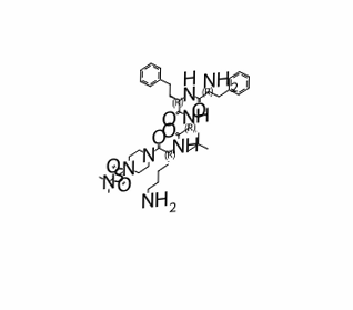 CC(C)C[C@@H](NC(=O)[C@@H](CCc1ccccc1)NC(=O)[C@H](N)Cc1ccccc1)C(=O)N[C@H](CCCCN)C(=O)N1CCN(S(=O)(=O)N(C)C)CC1